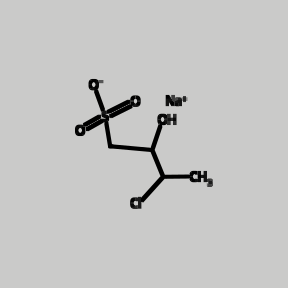 CC(Cl)C(O)CS(=O)(=O)[O-].[Na+]